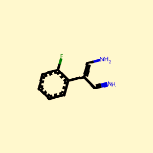 N=C/C(=C\N)c1ccccc1F